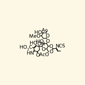 C/C=C(\N=C=S)C(=O)OC1C(COC(C)=O)OC(C2(O)CC(=O)C(=N)C(C(=O)O)=C2O)C(O)C1OC1CC(OC)C(O)(C(C)=O)C(C)O1